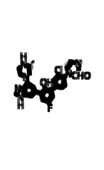 C[C@@H]1CN(c2cc(-c3cc(F)cc(-c4ccc(N(C=O)/C=C\N(C)C)c(Cl)c4)c3O)cc3[nH]cnc23)CCN1